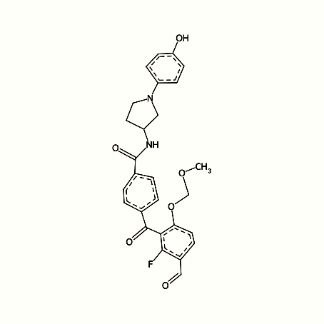 COCOc1ccc(C=O)c(F)c1C(=O)c1ccc(C(=O)NC2CCN(c3ccc(O)cc3)C2)cc1